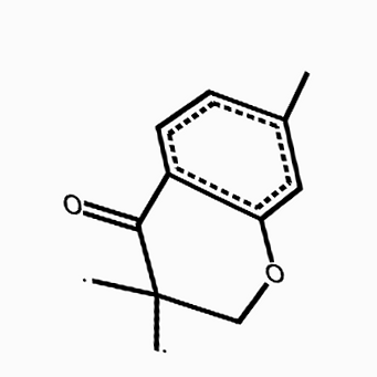 [CH2]C1([CH2])COc2cc(C)ccc2C1=O